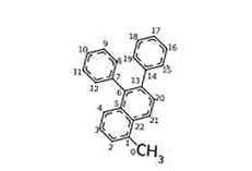 Cc1cccc2c(-c3ccccc3)c(-c3[c]cccc3)ccc12